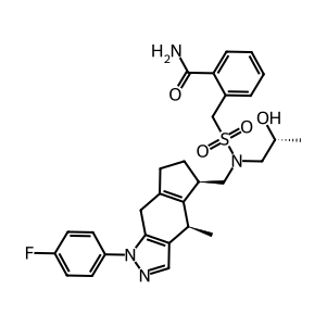 C[C@@H]1C2=C(CC[C@H]2CN(C[C@@H](C)O)S(=O)(=O)Cc2ccccc2C(N)=O)Cc2c1cnn2-c1ccc(F)cc1